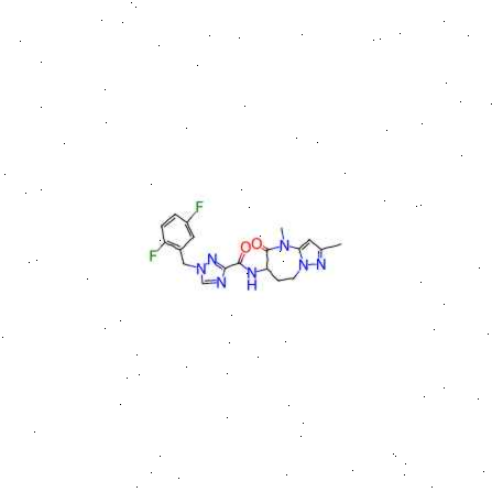 Cc1cc2n(n1)CCC(NC(=O)c1ncn(Cc3cc(F)ccc3F)n1)C(=O)N2C